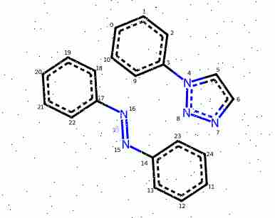 c1ccc(-n2ccnn2)cc1.c1ccc(/N=N/c2ccccc2)cc1